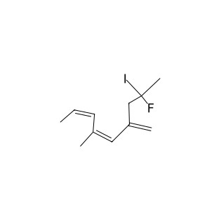 C=C(/C=C(C)\C=C/C)CC(C)(F)I